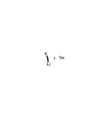 [Li][F].[Tm].[Y]